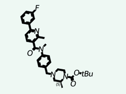 Cc1nc(-c2cccc(F)c2)ccc1C(=O)N(C)c1ccc(CN2CCN(C(=O)OC(C)(C)C)[C@@H](C)C2)cc1